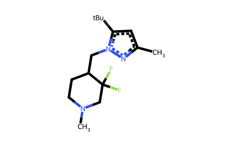 Cc1cc(C(C)(C)C)n(CC2CCN(C)CC2(F)F)n1